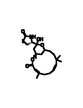 C/C1=C/C(=O)O[C@@H]2CC(CCC(C)(C)/C=C\CC1)O[C@@](O)([C@@H]1CSC(=O)N1)C2